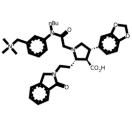 CCCCN(C(=O)CN1C[C@H](c2ccc3c(c2)OCO3)[C@@H](C(=O)O)[C@@H]1CCN1Cc2ccccc2C1=O)c1cccc(C[N+](C)(C)C)c1